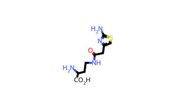 Nc1nc(CC(=O)NCCC(N)C(=O)O)cs1